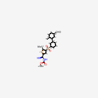 CSc1sc(C(=N)NC(=O)OC(C)(C)C)cc1S(=O)(=O)c1cccc(-c2cc(C=O)ccc2C)c1